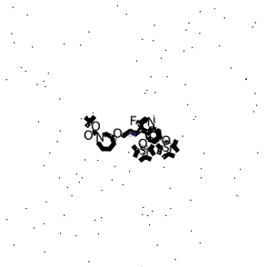 CC(C)[Si](Oc1cc(O[Si](C(C)C)(C(C)C)C(C)C)c2c(/C=C/CO[C@@H]3CCCCN(C(=O)OC(C)(C)C)C3)c(F)cnc2c1)(C(C)C)C(C)C